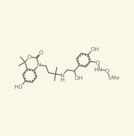 CSONOc1cc(C(O)CNC(C)(C)CCN2C(=O)OC(C)(C)c3cc(O)ccc32)ccc1O